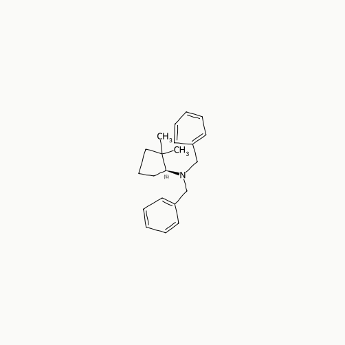 CC1(C)CCC[C@@H]1N(Cc1ccccc1)Cc1ccccc1